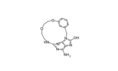 Nc1nc2nc3c1nc(O)n3Cc1cccc(c1)OCCOCCN2